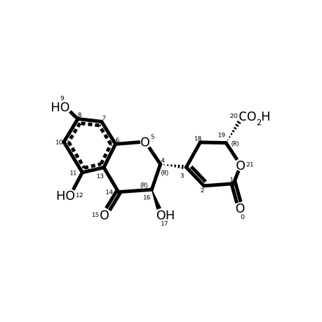 O=C1C=C([C@H]2Oc3cc(O)cc(O)c3C(=O)[C@@H]2O)C[C@H](C(=O)O)O1